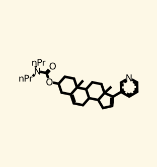 CCCN(CCC)C(=O)OC1CCC2(C)C(=CCC3C2CCC2(C)C(c4cccnc4)=CCC32)C1